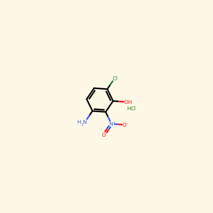 Cl.Nc1ccc(Cl)c(O)c1[N+](=O)[O-]